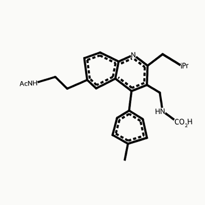 CC(=O)NCCc1ccc2nc(CC(C)C)c(CNC(=O)O)c(-c3ccc(C)cc3)c2c1